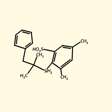 Cc1cc(C)c([SiH2]C(C)(C)Cc2ccccc2)c(S(=O)(=O)O)c1